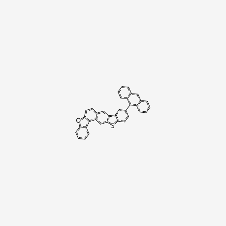 c1ccc2c(-c3ccc4sc5cc6c(ccc7oc8ccccc8c76)cc5c4c3)c3ccccc3cc2c1